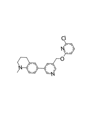 CN1CCCc2cc(-c3cncc(COc4cccc(Cl)n4)c3)ccc21